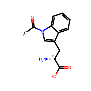 CC(=O)n1cc(C[C@@H](N)C(=O)O)c2ccccc21